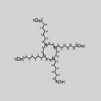 CCCCCCCCCCCCCCCCN1CCN(CCCCCCCCCCCCCCCC)CCN(CCCCCCCCCCCCCCCC)CCN(CCCCCCCCCCCCCCCC)CC1